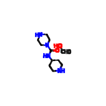 O=C(NC1CCNCC1)N1CCNCC1.O=CO